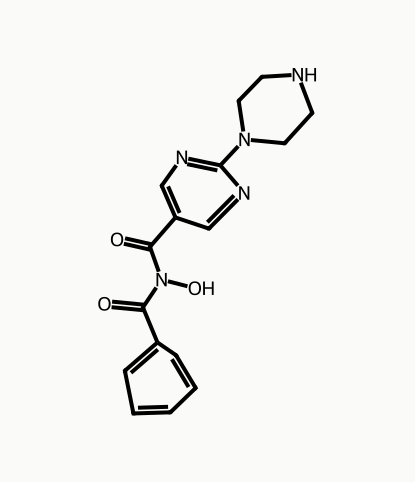 O=C(c1ccccc1)N(O)C(=O)c1cnc(N2CCNCC2)nc1